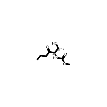 CCCC(=O)[C@H](NC(=O)OC)[C@@H](C)O